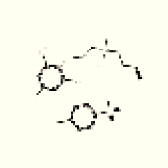 C=CCC[N+](CC)(CC)CCOc1c(Br)cc(N)cc1Br.Cc1ccc(S(=O)(=O)[O-])cc1